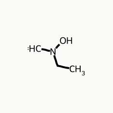 [CH]N(O)CC